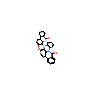 O=c1c2ccccc2c2ccc3oc4ccc5c6ccccc6c(=O)n6c7cccc8c7-n(c3c2n18)c4c56